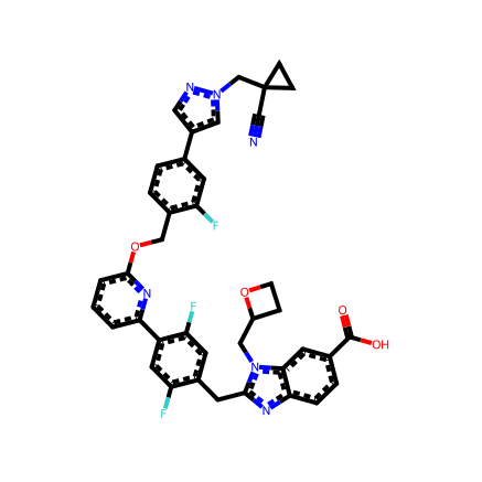 N#CC1(Cn2cc(-c3ccc(COc4cccc(-c5cc(F)c(Cc6nc7ccc(C(=O)O)cc7n6CC6CCO6)cc5F)n4)c(F)c3)cn2)CC1